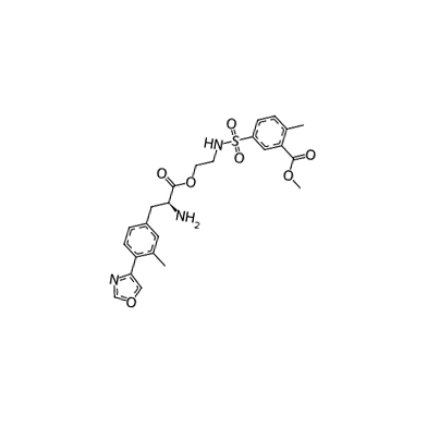 COC(=O)c1cc(S(=O)(=O)NCCOC(=O)[C@@H](N)Cc2ccc(-c3cocn3)c(C)c2)ccc1C